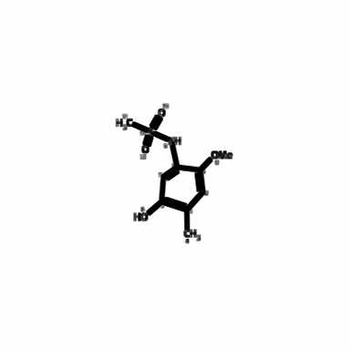 COc1cc(C)c(O)cc1NS(C)(=O)=O